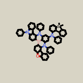 C[Si]1(C)c2ccccc2-c2c(N(c3ccccc3)c3cc4c5c(c3)N(c3ccccc3)c3c(ccc6c3c3ccccc3n6-c3ccccc3)B5c3ccc5oc6ccccc6c5c3N4c3ccccc3)cccc21